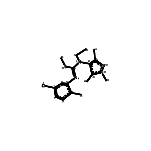 CCN(C(=Nc1cc(Cl)ccc1C)SC)c1c(C)nn(C)c1C